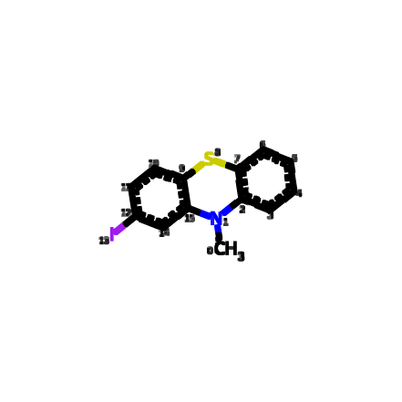 CN1c2ccccc2Sc2ccc(I)cc21